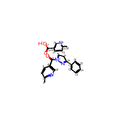 Cc1ccc(C(=O)N2CCC(c3ccccc3)=N2)cn1.Cc1ccc(C(=O)O)cn1